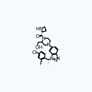 C[C@H](c1ccc(Cl)cc1F)n1nnc2ccc(N3CCN(C(=O)[C@H]4CCN4)C(CO)C3)cc21